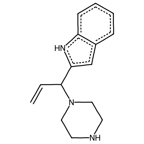 C=CC(c1cc2ccccc2[nH]1)N1CCNCC1